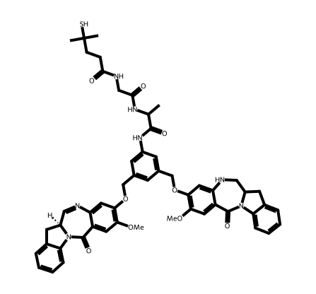 COc1cc2c(cc1OCc1cc(COc3cc4c(cc3OC)C(=O)N3c5ccccc5CC3CN4)cc(NC(=O)C(C)NC(=O)CNC(=O)CCC(C)(C)S)c1)N=C[C@@H]1Cc3ccccc3N1C2=O